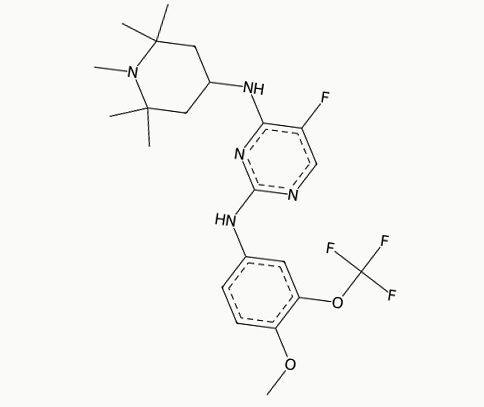 COc1ccc(Nc2ncc(F)c(NC3CC(C)(C)N(C)C(C)(C)C3)n2)cc1OC(F)(F)F